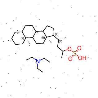 CC(C[C@@H](C)[C@H]1CCC2C3CCC4CCCC[C@]4(C)C3CC[C@@]21C)OS(=O)(=O)O.CCN(CC)CC